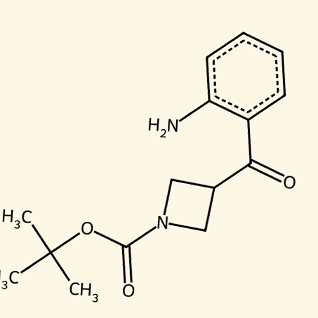 CC(C)(C)OC(=O)N1CC(C(=O)c2ccccc2N)C1